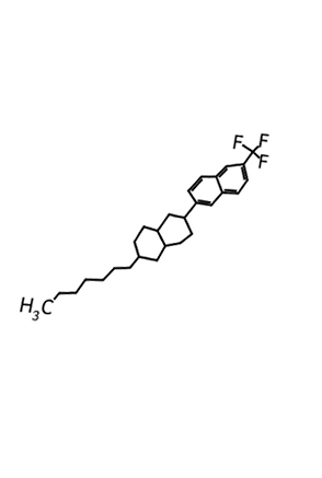 CCCCCCCC1CCC2CC(c3ccc4cc(C(F)(F)F)ccc4c3)CCC2C1